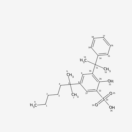 CCCCCC(C)(C)c1cc(C(C)(C)c2ccccc2)c(O)c(S(=O)(=O)O)c1